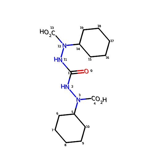 O=C(NN(C(=O)O)C1CCCCC1)NN(C(=O)O)C1CCCCC1